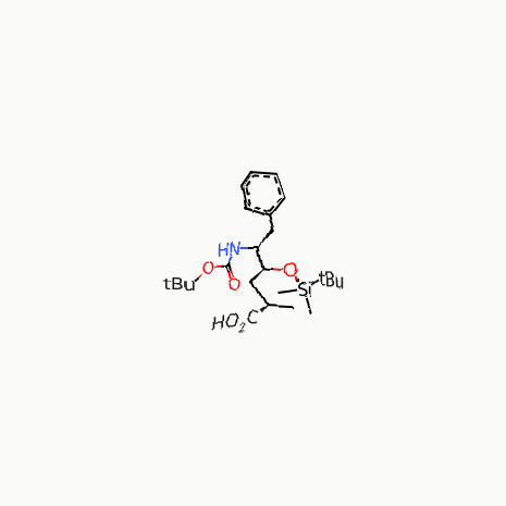 C[C@H](C[C@H](O[Si](C)(C)C(C)(C)C)[C@H](Cc1ccccc1)NC(=O)OC(C)(C)C)C(=O)O